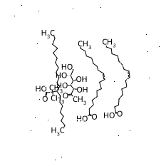 CC(=O)[C@H](O)[C@@H](O)[C@H](O)[C@H](O)CO.CCCCCCCC/C=C\CCCCCCCC(=O)O.CCCCCCCC/C=C\CCCCCCCC(=O)O.CCCCCCCCCCCCC(CCCCCCCC)C(C)(C)C(=O)O